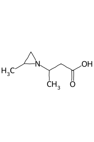 CC(CC(=O)O)N1CC1C